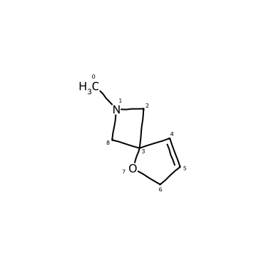 CN1CC2(C=CCO2)C1